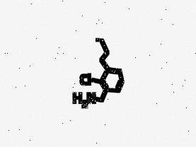 [CH2]CCc1cccc(CN)c1Cl